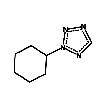 c1nnn(C2CCCCC2)n1